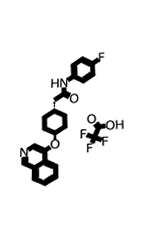 O=C(C[C@H]1CC[C@H](Oc2cncc3ccccc23)CC1)Nc1ccc(F)cc1.O=C(O)C(F)(F)F